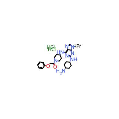 CC(C)n1cnc2c(NC3CCN(C(=O)COc4ccccc4)CC3)nc(N[C@H]3CC[C@H](N)CC3)nc21.Cl.Cl